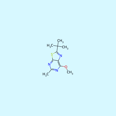 COc1nc(C)nc2sc(C(C)(C)C)nc12